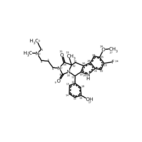 CCN(C)CCCN1C(=O)N2C(c3cccc(O)c3)c3[nH]c4cc(F)c(OC)cc4c3CC2(C)C1=O